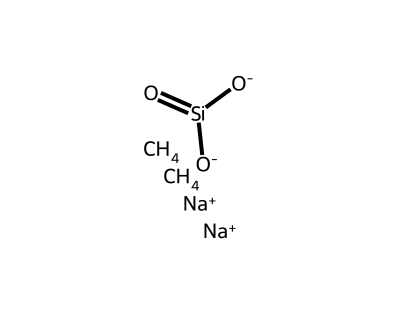 C.C.O=[Si]([O-])[O-].[Na+].[Na+]